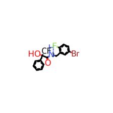 O=C(NCc1cc(Br)ccc1F)[C@@](O)(c1ccccc1)C(F)(F)F